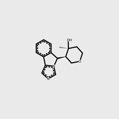 C[C@]1(O)CCOC[C@H]1C1c2ccccc2-c2cncn21